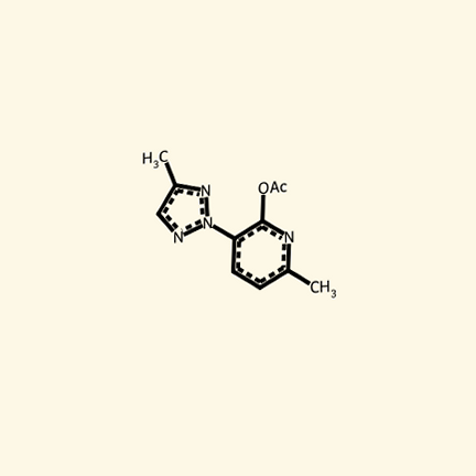 CC(=O)Oc1nc(C)ccc1-n1ncc(C)n1